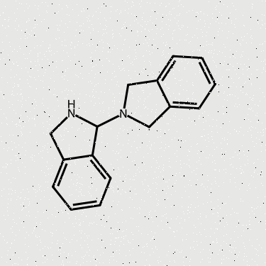 [CH]1c2ccccc2CN1C1NCc2ccccc21